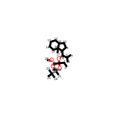 CCC(OC(C(C)C)C1CCC2CCCCC21C)(O[Si](C)(C)C(C)(C)C)C(=O)OC